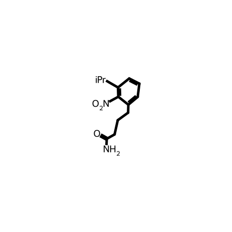 CC(C)c1cccc(CCCC(N)=O)c1[N+](=O)[O-]